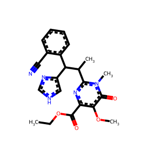 CCOC(=O)c1nc(C(C)C(c2c[nH]cn2)c2ccccc2C#N)n(C)c(=O)c1OC